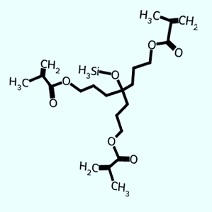 C=C(C)C(=O)OCCCC(CCCOC(=O)C(=C)C)(CCCOC(=O)C(=C)C)O[SiH3]